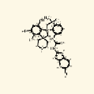 CC(C)(C)C[N+]1(c2ccccc2NC(=O)Nc2nc3ccc(Cl)nc3s2)CC2(CCNCC2)c2c(Cl)c(F)cc(O)c21